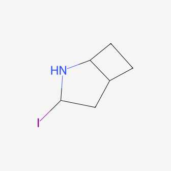 IC1CC2CCC2N1